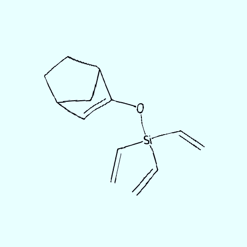 C=C[Si](C=C)(C=C)OC1=CC2CCC1C2